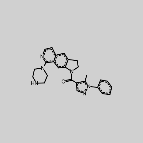 Cc1c(C(=O)N2CCc3cc4ccnc(N5CCNCC5)c4cc32)cnn1-c1ccccc1